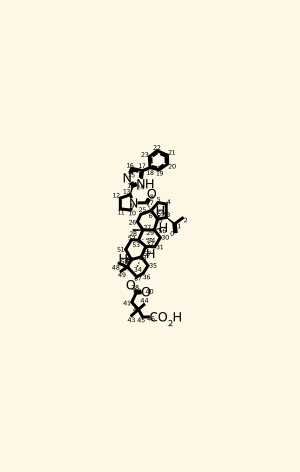 C=C(C)[C@@H]1CC[C@]2(C(=O)N3CCC[C@H]3c3ncc(-c4ccccc4)[nH]3)CC[C@]3(C)[C@H](CC[C@@H]4[C@@]5(C)CC[C@H](OC(=O)CC(C)(C)CC(=O)O)C(C)(C)[C@@H]5CC[C@]43C)[C@@H]12